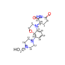 O=C1CC[C@@H](N2CCOc3c(N4CCN(C(=O)O)CC4)cccc32)C(=O)N1